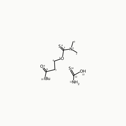 CN(C)C(=S)OCCC(=O)C(C)(C)C.NC(O)=S